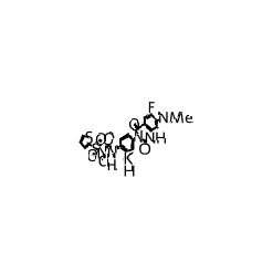 CNc1cc2[nH]c(=O)n(-c3ccc(NC(=O)N(Cl)S(=O)(=O)c4cccs4)cc3)c(=O)c2cc1F.[KH]